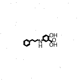 O=C(O)c1cc(NCCCc2ccccc2)ccc1O